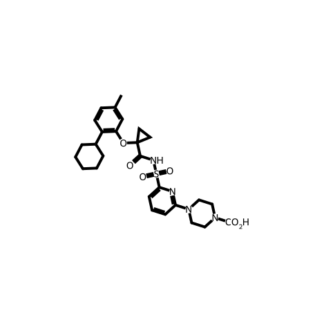 Cc1ccc(C2CCCCC2)c(OC2(C(=O)NS(=O)(=O)c3cccc(N4CCN(C(=O)O)CC4)n3)CC2)c1